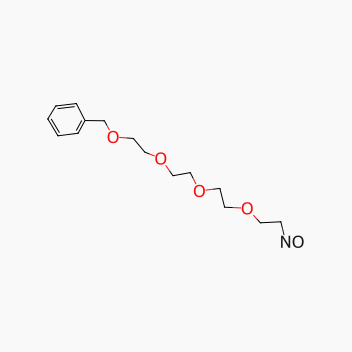 O=NCCOCCOCCOCCOCc1ccccc1